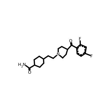 NC(=O)C1CCC(CCN2CCC(C(=O)c3ccc(F)cc3F)CC2)CC1